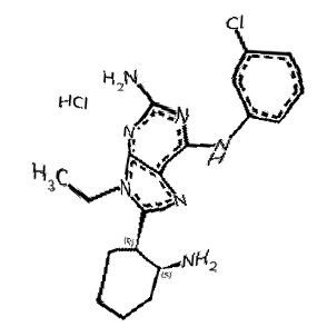 CCn1c([C@@H]2CCCC[C@@H]2N)nc2c(Nc3cccc(Cl)c3)nc(N)nc21.Cl